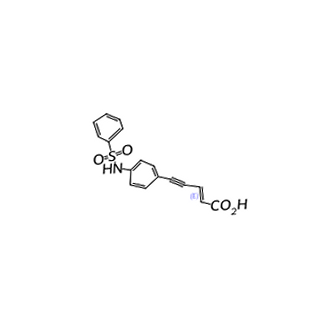 O=C(O)/C=C/C#Cc1ccc(NS(=O)(=O)c2ccccc2)cc1